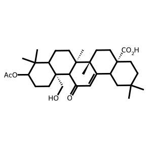 CC(=O)OC1CC[C@@]2(CO)C(CC[C@]3(C)C2C(=O)C=C2C4CC(C)(C)CC[C@]4(C(=O)O)CC[C@]23C)C1(C)C